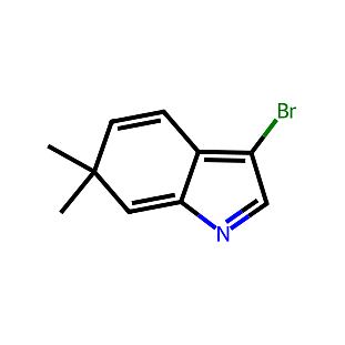 CC1(C)C=CC2=C(Br)C=NC2=C1